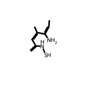 C=C(/C=C(C)\C(N)=C/C)NS